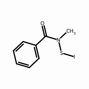 CN(SI)C(=O)c1ccccc1